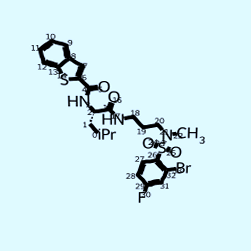 CC(C)C[C@H](NC(=O)c1cc2ccccc2s1)C(=O)NCCCN(C)S(=O)(=O)c1ccc(F)cc1Br